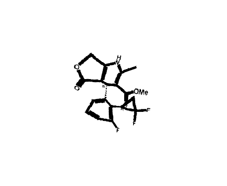 COC(=O)C1=C(C)NC2=C(C(=O)OC2)[C@H]1c1cccc(F)c1[C@H]1CC1(F)F